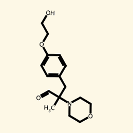 CC(C=O)(Cc1ccc(OCCO)cc1)N1CCOCC1